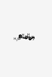 COc1ccccc1CNCc1ccc(Nc2cccc(-c3nccs3)n2)nc1